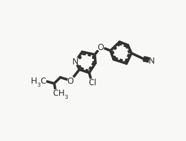 CC(C)COc1ncc(Oc2ccc(C#N)cc2)cc1Cl